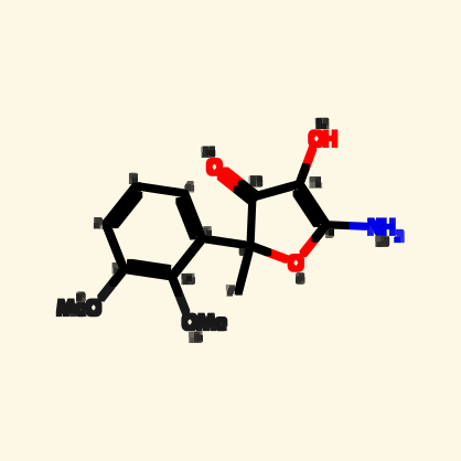 COc1cccc(C2(C)OC(N)=C(O)C2=O)c1OC